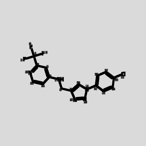 FC(F)(F)c1cc(NCc2cn(-c3ccc(Cl)cc3)nn2)ccn1